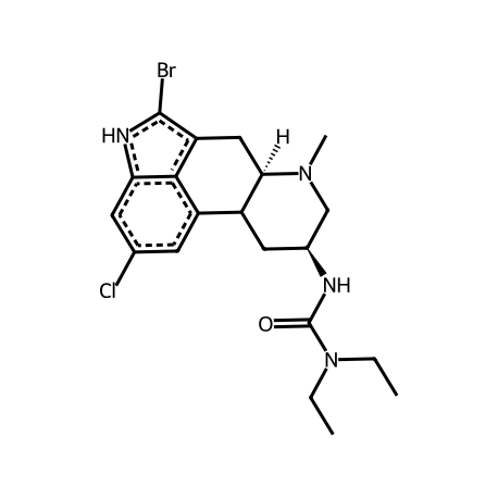 CCN(CC)C(=O)N[C@H]1CC2c3cc(Cl)cc4[nH]c(Br)c(c34)C[C@H]2N(C)C1